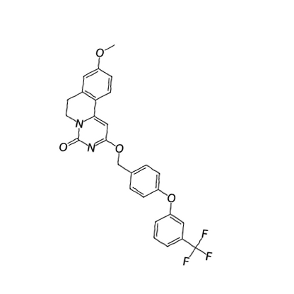 COc1ccc2c(c1)CCn1c-2cc(OCc2ccc(Oc3cccc(C(F)(F)F)c3)cc2)nc1=O